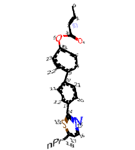 C/C=C/C(=O)Oc1ccc(-c2ccc(-c3ncc(CCC)s3)cc2)cc1